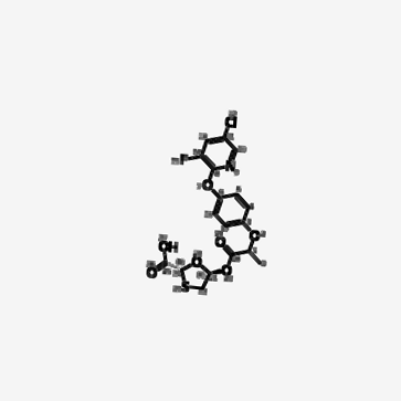 CC(Oc1ccc(Oc2ncc(Cl)cc2F)cc1)C(=O)O[C@H]1CS[C@H](C(=O)O)O1